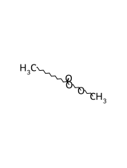 CCCCCCCCCCCC(=O)OCCCOCCCC